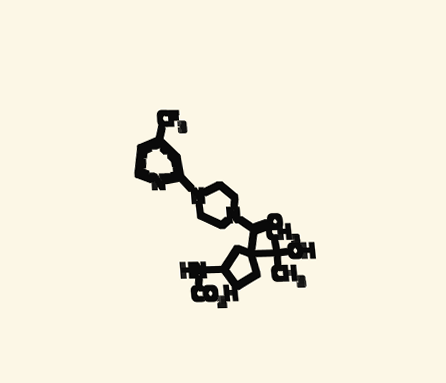 CC(C)(O)C1(C(=O)N2CCN(c3cc(C(F)(F)F)ccn3)CC2)CCC(NC(=O)O)C1